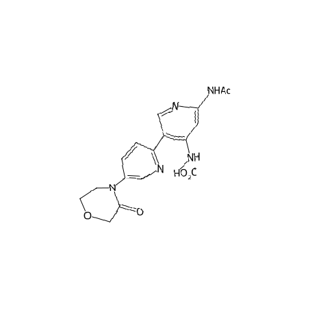 CC(=O)Nc1cc(NC(=O)O)c(-c2ccc(N3CCOCC3=O)cn2)cn1